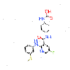 CSc1cccc(Nc2ncc(F)cc2C(=O)NC2CCC(NC(=O)O)CC2)c1